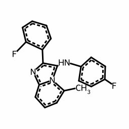 Cc1cccc2nc(-c3ccccc3F)c(Nc3ccc(F)cc3)n12